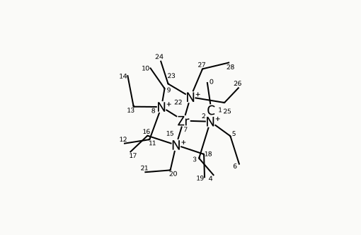 CC[N+](CC)(CC)[Zr]([N+](CC)(CC)CC)([N+](CC)(CC)CC)[N+](CC)(CC)CC